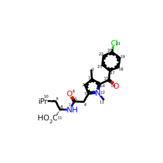 Cc1cc(CC(=O)N[C@@H](CC(C)C)C(=O)O)n(C)c1C(=O)c1ccc(Cl)cc1